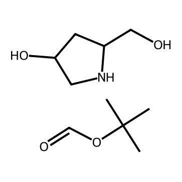 CC(C)(C)OC=O.OCC1CC(O)CN1